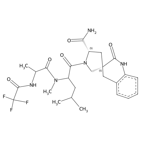 CC(C)CC(C(=O)N1C[C@]2(Cc3ccccc3NC2=O)C[C@H]1C(N)=O)N(C)C(=O)C(C)NC(=O)C(F)(F)F